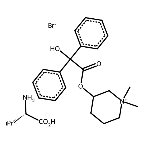 CC(C)[C@H](N)C(=O)O.C[N+]1(C)CCCC(OC(=O)C(O)(c2ccccc2)c2ccccc2)C1.[Br-]